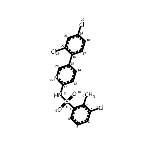 Cc1c(Cl)cccc1S(=O)(=O)Nc1ccc(-c2ccc(Cl)cc2Cl)cn1